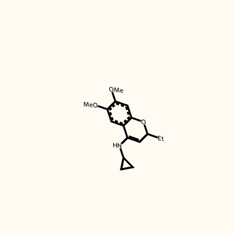 CCC1C=C(NC2CC2)c2cc(OC)c(OC)cc2O1